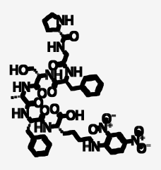 C[C@H](NC(=O)[C@H](CO)NC(=O)[C@H](Cc1ccccc1)NC(=O)CNC(=O)[C@@H]1CCCN1)C(=O)N[C@@H](Cc1ccccc1)C(=O)N[C@@H](CCCCNc1ccc([N+](=O)[O-])cc1[N+](=O)[O-])C(=O)O